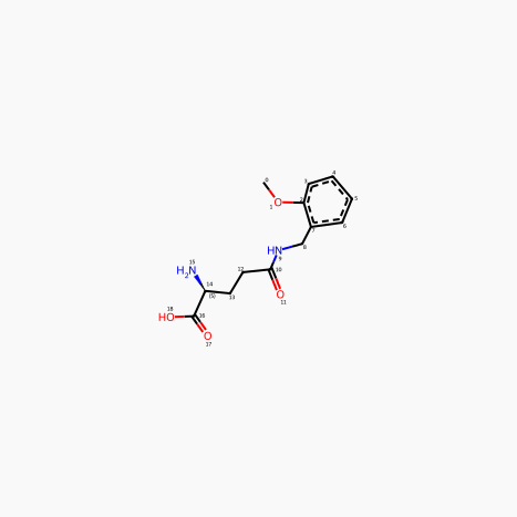 COc1ccccc1CNC(=O)CC[C@H](N)C(=O)O